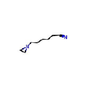 N#CCCCCCN1CC1